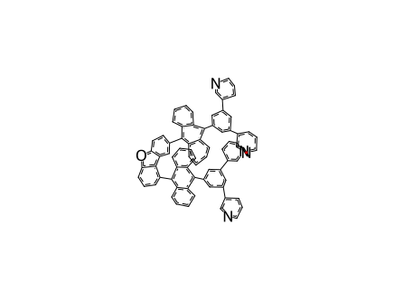 c1cncc(-c2cc(-c3cccnc3)cc(-c3c4ccccc4c(-c4ccc5oc6cccc(-c7c8ccccc8c(-c8cc(-c9cccnc9)cc(-c9cccnc9)c8)c8ccccc78)c6c5c4)c4ccccc34)c2)c1